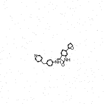 O=C1Nc2cc(-c3ccco3)ccc2C1=CNc1ccc(Cc2ccncc2)cc1